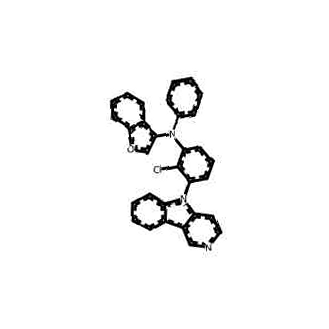 Clc1c(N(c2ccccc2)c2coc3ccccc23)cccc1-n1c2ccccc2c2cnccc21